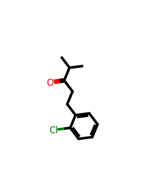 CC(C)C(=O)CCc1ccccc1Cl